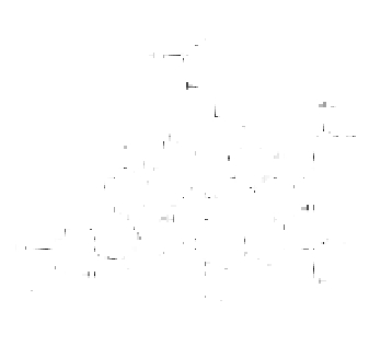 CC(C)[C@H](NC(=O)[C@H](CCCNC(=N)N)NC(=O)[C@H](CCC(N)=O)NC(=O)[C@@H](NC(=O)[C@@H]1CCCN1C(=O)[C@@H]1CCCN1)[C@@H](C)O)C(=O)N[C@@H](CC(=O)O)C(=O)N1CCC[C@H]1C(=O)N[C@@H](C)C(=O)O